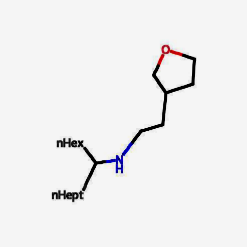 CCCCCCCC(CCCCCC)NCCC1CCOC1